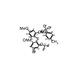 COc1cc(OC)c([I+]c2ccc(Br)cc2OC(F)F)c(OC)c1.Cc1ccc(S(=O)(=O)[O-])cc1